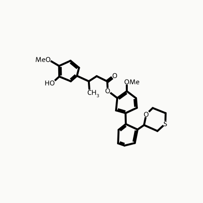 COc1ccc(C(C)CC(=O)Oc2cc(-c3ccccc3C3CSCCO3)ccc2OC)cc1O